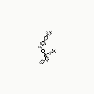 CC(C)(C)OC(=O)N1CCN(c2cnc(Nc3ccc(-c4cc5c(N6CCOCC6)ncnc5n4COCC[Si](C)(C)C)cc3)cn2)CC1